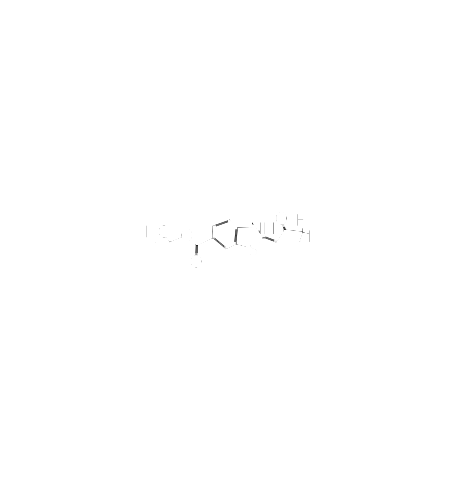 CCOC(=O)c1ccc2c(c1)S/C(=C/C(=O)C(F)(F)F)N2